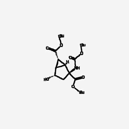 CC(C)(C)OC(=O)N[C@@]1(C(=O)OC(C)(C)C)C[C@H](O)C2[C@H](C(=O)OC(C)(C)C)[C@H]21